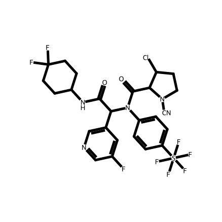 N#CN1CCC(Cl)C1C(=O)N(c1ccc(S(F)(F)(F)(F)F)cc1)C(C(=O)NC1CCC(F)(F)CC1)c1cncc(F)c1